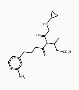 CC(CC(=O)O)N(C(=O)CCCc1ccnc(N)c1)C(=O)CNC1CC1